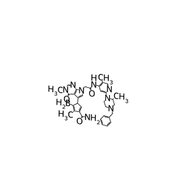 BC1=C(C)C(C(N)=O)=CC1c1cn(CC(=O)Nc2cc(N3CCN(Cc4ccccc4)CC3C)ncc2C)c2ncn(C)c(=O)c12